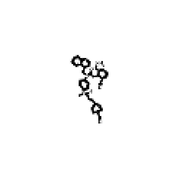 Cn1c(CCc2ccc(C#N)cc2)nc2cc(N(Cc3cccc4ccccc34)C(=O)Cc3c(C#N)cccc3CN)ccc21